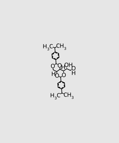 CC(C)c1ccc(C2OC[C@@H]3OC(c4ccc(C(C)C)cc4)O[C@H]([C@H](O)CO)[C@@H]3O2)cc1